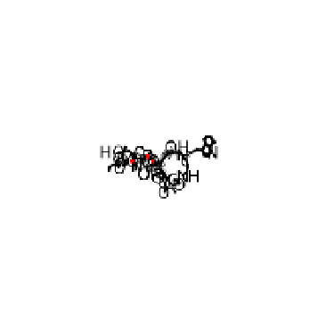 CCC(=O)O[C@@H]1C(C)O[C@@H](O[C@@H]2C(C)O[C@@H](O[C@H]3[C@@H](CC=O)C[C@@H](C)[C@@H](O)CN(CCCc4ccnc5ccccc45)CCCNC(=O)C[C@@H](OC(=O)CC)[C@@H]3OC)C(O)C2N(C)C)CC1(C)O